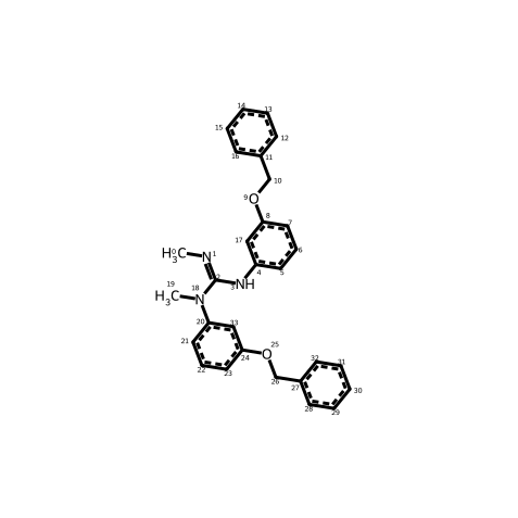 CN=C(Nc1cccc(OCc2ccccc2)c1)N(C)c1cccc(OCc2ccccc2)c1